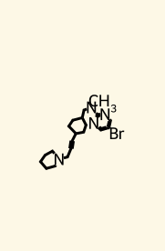 CN(CC1CCC(C#CCN2CCCCC2)CC1)c1ncc(Br)cn1